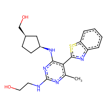 Cc1nc(NCCO)nc(N[C@H]2CC[C@@H](CO)C2)c1-c1nc2ccccc2s1